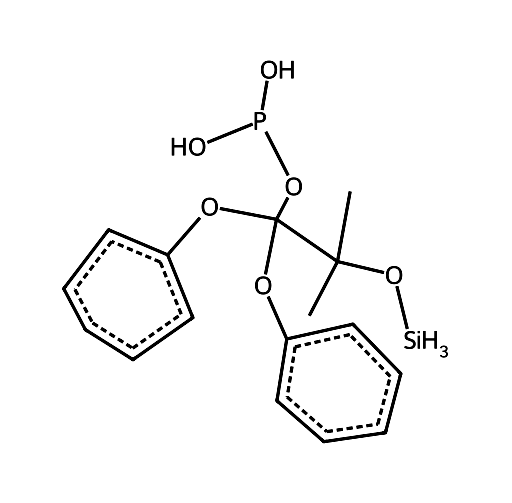 CC(C)(O[SiH3])C(Oc1ccccc1)(Oc1ccccc1)OP(O)O